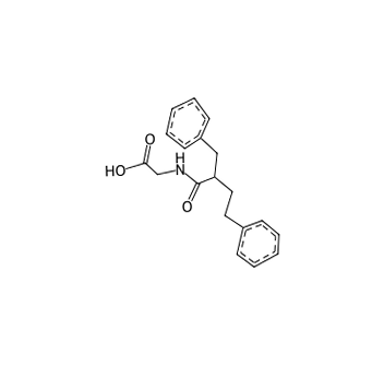 O=C(O)CNC(=O)C(CCc1ccccc1)Cc1ccccc1